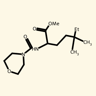 CCC(C)(C)CCC(NC(=O)N1CCOCC1)C(=O)OC